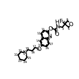 O=C(NCC1(F)COC1)Oc1ccc2cc(OCCCN3CCCCC3)ccc2n1